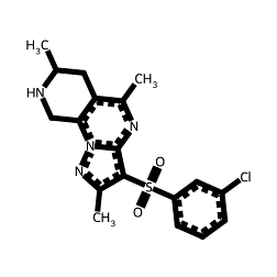 Cc1nc2c(S(=O)(=O)c3cccc(Cl)c3)c(C)nn2c2c1CC(C)NC2